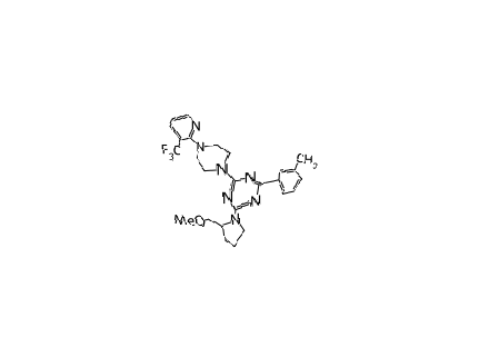 COCC1CCCN1c1nc(-c2cccc(C)c2)nc(N2CCN(c3ncccc3C(F)(F)F)CC2)n1